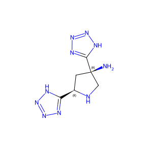 N[C@@]1(c2nnn[nH]2)CN[C@@H](c2nnn[nH]2)C1